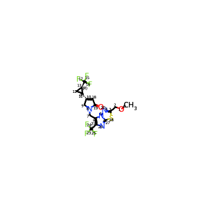 COCc1nn2c(CN3CC([C@@H]4C[C@H]4C(F)(F)F)=CC3=O)c(C(F)(F)F)nc2s1